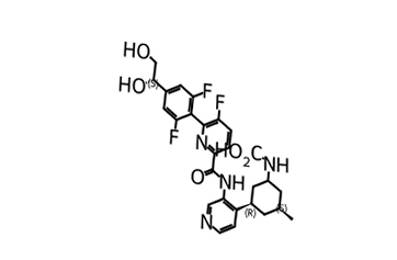 C[C@@H]1CC(NC(=O)O)C[C@H](c2ccncc2NC(=O)c2ccc(F)c(-c3c(F)cc([C@H](O)CO)cc3F)n2)C1